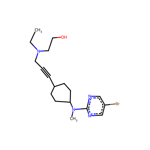 CCN(CC#CC1CCC(N(C)c2ncc(Br)cn2)CC1)CCO